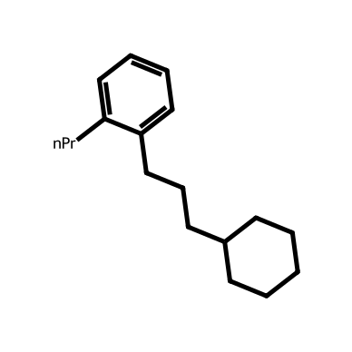 CCCc1ccccc1CCCC1CCCCC1